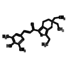 CCc1sc(C(=O)C=Cc2cc(C)c(O)c(C)c2)c2c1CC(CC)(CC)CC2